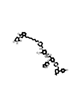 CC1(C)CCC(CN2CCN(c3ccc(C(=O)NS(=O)(=O)c4ccc(NCC5CCN(CCCCCCCCc6cccc7c6CN(C6CCC(=O)NC6=O)C7=O)CC5)c([N+](=O)[O-])c4)c(Oc4cnc5[nH]ccc5c4)c3)CC2)=C(c2ccc(Cl)cc2)C1